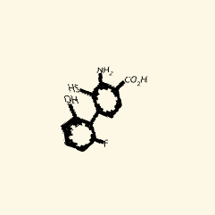 Nc1c(C(=O)O)ccc(-c2c(O)cccc2F)c1S